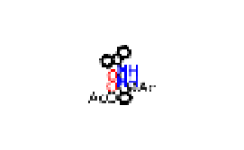 CC(=O)Oc1cccc(OC(C)=O)c1C(=O)NC(=O)NC1c2ccccc2-c2ccccc21